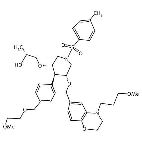 COCCCN1CCOc2ccc(CO[C@H]3CN(S(=O)(=O)c4ccc(C)cc4)C[C@@H](OC[C@@H](C)O)[C@@H]3c3ccc(COCCOC)cc3)cc21